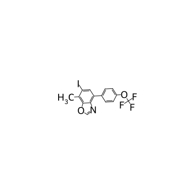 Cc1c(I)cc(-c2ccc(OC(F)(F)F)cc2)c2ncoc12